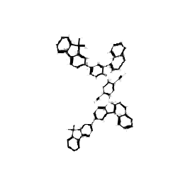 CC1(C)c2ccccc2-c2ccc(-c3ccc4c(c3)c3c5ccccc5ccc3n4-c3cc(C#N)c(-n4c5ccc(-c6ccc7c(c6)C(C)(C)c6ccccc6-7)cc5c5c6ccccc6ccc54)cc3C#N)cc21